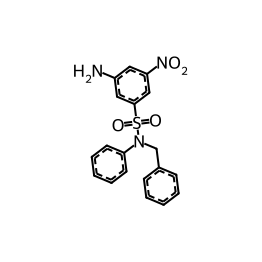 Nc1cc([N+](=O)[O-])cc(S(=O)(=O)N(Cc2ccccc2)c2ccccc2)c1